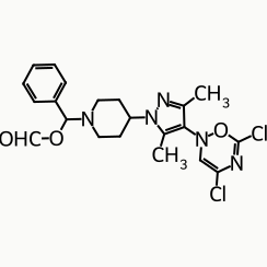 Cc1nn(C2CCN(C(OC=O)c3ccccc3)CC2)c(C)c1N1C=C(Cl)N=C(Cl)O1